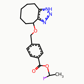 CC(I)OC(=O)c1ccc(COC2CCCCCc3[nH]nnc32)cc1